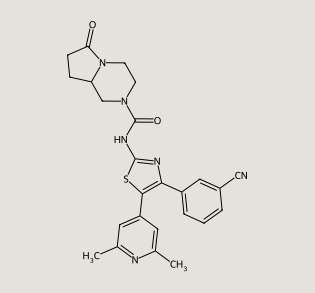 Cc1cc(-c2sc(NC(=O)N3CCN4C(=O)CCC4C3)nc2-c2cccc(C#N)c2)cc(C)n1